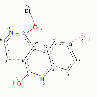 Bc1ccc2nc(O)c3ccnc(OCC)c3c2c1